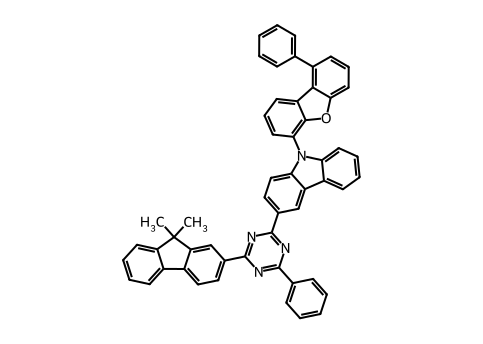 CC1(C)c2ccccc2-c2ccc(-c3nc(-c4ccccc4)nc(-c4ccc5c(c4)c4ccccc4n5-c4cccc5c4oc4cccc(-c6ccccc6)c45)n3)cc21